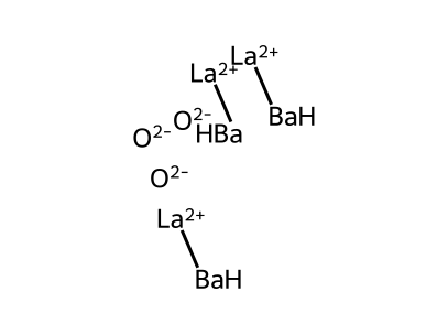 [BaH][La+2].[BaH][La+2].[BaH][La+2].[O-2].[O-2].[O-2]